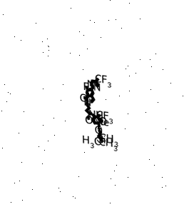 COC[C@@H](CCCn1ccc2cc(-c3ncc(C(F)(F)F)cn3)c(F)cc2c1=O)NC1=C(C(F)(F)F)C(=O)C(COCC[Si](C)(C)C)C=C1